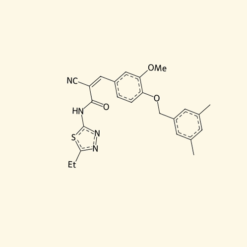 CCc1nnc(NC(=O)/C(C#N)=C\c2ccc(OCc3cc(C)cc(C)c3)c(OC)c2)s1